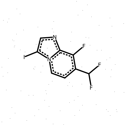 Fc1c(C(F)F)ccn2c(I)cnc12